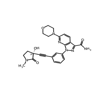 CN1CC[C@@](O)(C#Cc2cccc(-n3nc(C(N)=O)c4ccc(N5CCOCC5)nc43)c2)C1=O